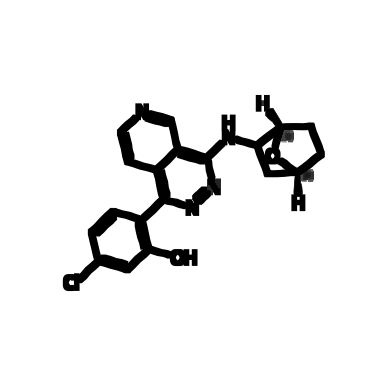 Oc1cc(Cl)ccc1-c1nnc(NC2C[C@H]3CC[C@@H]2O3)c2cnccc12